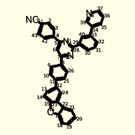 N#Cc1ccc(-c2cc(-c3ccc(-c4ccc5oc6ccccc6c5c4)cc3)nc(-c3cccc(-c4cccnc4)c3)n2)cc1